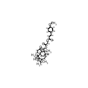 C=C[C@]1(C)CC[C@@H]2CC[C@]3(CCC(=O)[C@H]3[C@]2(C)COC(=O)COC(=O)/C=C/c2ccc(OC)cc2)[C@@H](C)[C@@H]1O